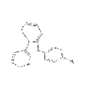 CC1C=CC(N2C3=CC=CCC3C3=C2NCC=C3)=CC1